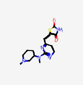 CN1CCCC(N(C)c2nccc(C=C3SC(=O)NC3=O)n2)C1